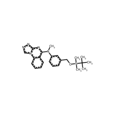 CN(c1cccc(CO[Si](C)(C)C(C)(C)C)c1)c1nc2nncn2c2ccccc12